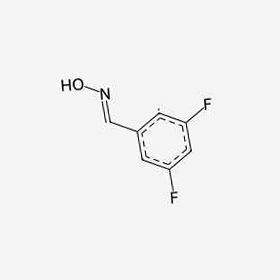 ON=Cc1[c]c(F)cc(F)c1